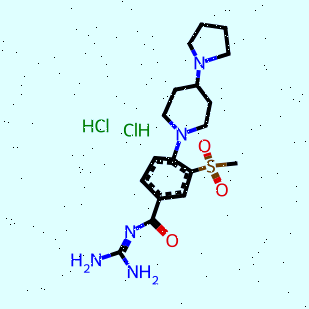 CS(=O)(=O)c1cc(C(=O)N=C(N)N)ccc1N1CCC(N2CCCC2)CC1.Cl.Cl